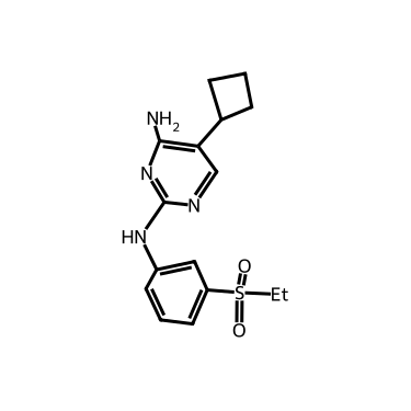 CCS(=O)(=O)c1cccc(Nc2ncc(C3CCC3)c(N)n2)c1